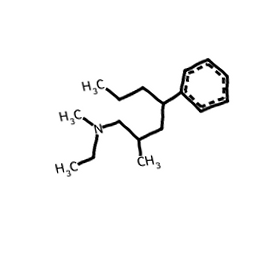 CCCC(CC(C)CN(C)CC)c1ccccc1